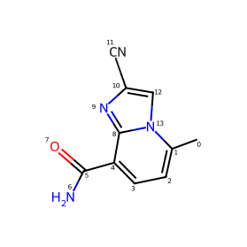 Cc1ccc(C(N)=O)c2nc(C#N)cn12